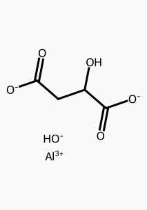 O=C([O-])CC(O)C(=O)[O-].[Al+3].[OH-]